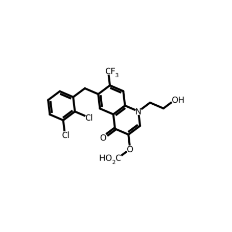 O=C(O)Oc1cn(CCO)c2cc(C(F)(F)F)c(Cc3cccc(Cl)c3Cl)cc2c1=O